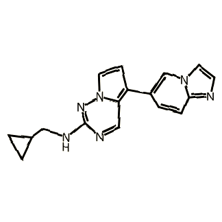 c1cn2cc(-c3ccn4nc(NCC5CC5)ncc34)ccc2n1